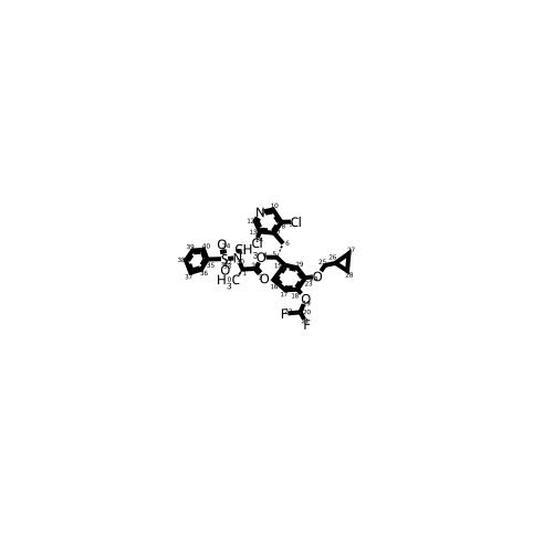 C[C@@H](C(=O)O[C@H](Cc1c(Cl)cncc1Cl)c1ccc(OC(F)F)c(OCC2CC2)c1)N(C)S(=O)(=O)c1ccccc1